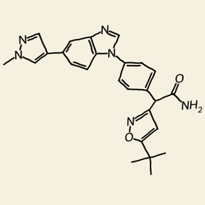 Cn1cc(-c2ccc3c(c2)ncn3-c2ccc(C(C(N)=O)c3cc(C(C)(C)C)on3)cc2)cn1